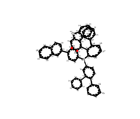 c1ccc(-c2ccc(N(c3ccc(-c4ccc5ccccc5c4)cc3)c3cccc(-c4ccccc4)c3-c3cccc4oc5ccccc5c34)cc2-c2ccccc2)cc1